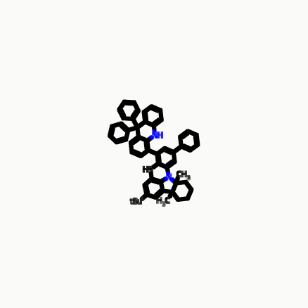 CC(C)(C)c1cc2c3c(c1)C1(C)CCCCC1(C)N3c1cc(-c3ccccc3)cc(-c3cccc4c3Nc3ccccc3C4(c3ccccc3)c3ccccc3)c1B2